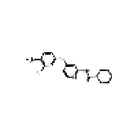 Nc1ccc(Oc2ccnc(NC(=O)N3CCCCC3)c2)cc1Cl